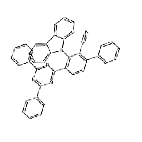 N#Cc1c(-c2ccccc2)ccc(-c2nc(-c3ccccc3)nc(-c3ccccc3)n2)c1-n1c2ccccc2c2ccccc21